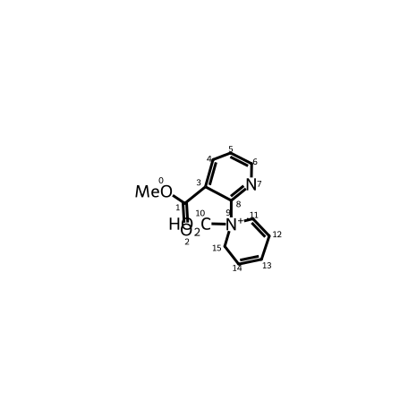 COC(=O)c1cccnc1[N+]1(C(=O)O)[C]=CC=CC1